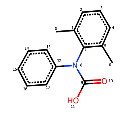 Cc1cccc(C)c1N(C(=O)O)c1ccccc1